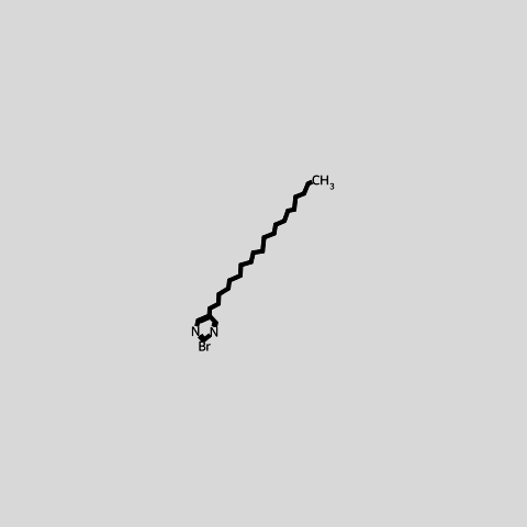 CCCCCCCCCCCCCCCCCCCCc1cnc(Br)nc1